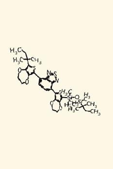 CCC(C)(C)c1sc(-c2ccc(-c3sc([Si](C)(C)O[Si](C)(C)C(C)(C)CC)c4c3OCCO4)c3nsnc23)c2c1OCCO2